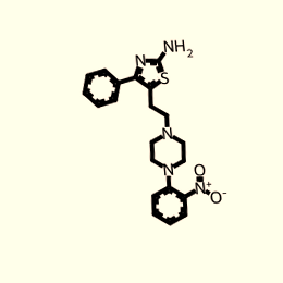 Nc1nc(-c2ccccc2)c(CCN2CCN(c3ccccc3[N+](=O)[O-])CC2)s1